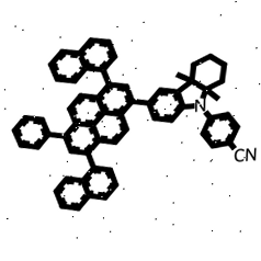 CC12CCCCC1(C)N(c1ccc(C#N)cc1)c1ccc(-c3cc(-c4cccc5ccccc45)c4ccc5c(-c6ccccc6)cc(-c6cccc7ccccc67)c6ccc3c4c56)cc12